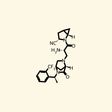 C[C@@H](c1ccccc1C(F)(F)F)N1C(=O)[C@@H]2CC1CN2C[C@H](N)C(=O)N1[C@H](C#N)CC2C[C@@H]21